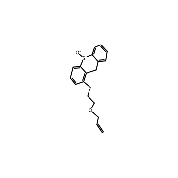 C=CCOCCSc1cccc2c1Cc1ccccc1[S+]2[O-]